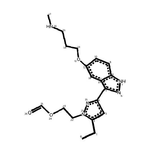 CCc1cc(-c2n[nH]c3ccc(OCCCNC)cc23)nn1CCOC=O